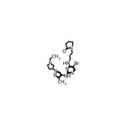 CCN1CCC(n2cc(Nc3ncc(Br)c(NCCCN4CCCCC4=O)n3)c(C)n2)C1